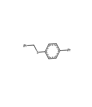 CC(C)CSc1ccc(C(C)C)cc1